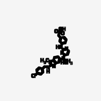 CN(c1ccc2c(c1)nc(NCc1ccc(Cl)cc1)n2C)c1ccnc(Nc2cccc(CS(=O)(=O)O)c2)n1.Cl